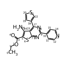 CCOC(=O)c1sc2nc(-c3ccncc3)nc(-c3ccsc3)c2c1N